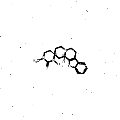 CN1CC[C@]2(CCN3CCc4c(oc5ccccc45)[C@@H]3C2)N(C)C1=O